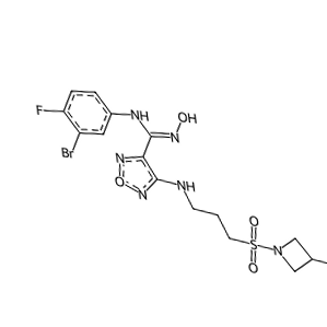 O=S(=O)(CCCNc1nonc1/C(=N/O)Nc1ccc(F)c(Br)c1)N1CC(F)C1